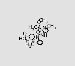 COC[C@H](C)Oc1nc(C)ccc1NC(=O)N(c1ccccc1C(C)C)[C@H]1CC[C@H](C(=O)O)CC1